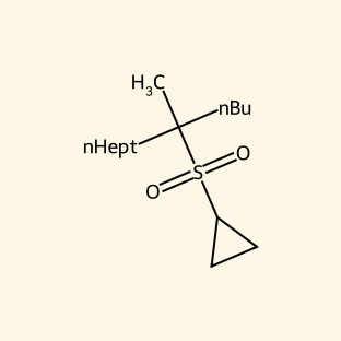 CCCCCCCC(C)(CCCC)S(=O)(=O)C1CC1